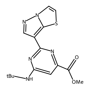 COC(=O)c1cc(NC(C)(C)C)nc(-c2cnn3ccsc23)n1